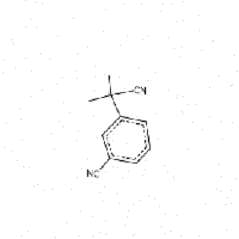 CC(C)(C#N)c1cccc(C#N)c1